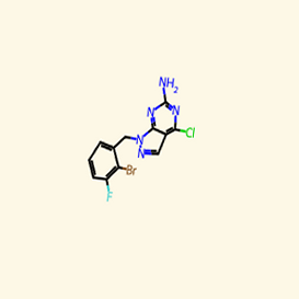 Nc1nc(Cl)c2cnn(Cc3cccc(F)c3Br)c2n1